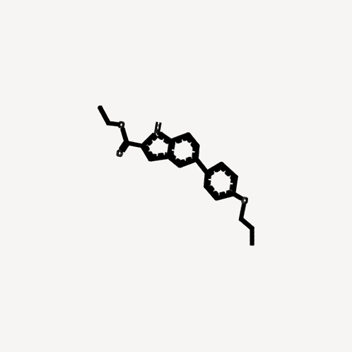 CCCOc1ccc(-c2ccc3[nH]c(C(=O)OCC)cc3c2)cc1